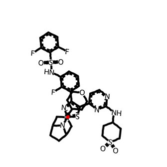 O=S1(=O)CCC(Nc2nccc(-c3sc(N4C5CCC4CN(C4CCOCC4)C5)nc3-c3cccc(NS(=O)(=O)c4c(F)cccc4F)c3F)n2)CC1